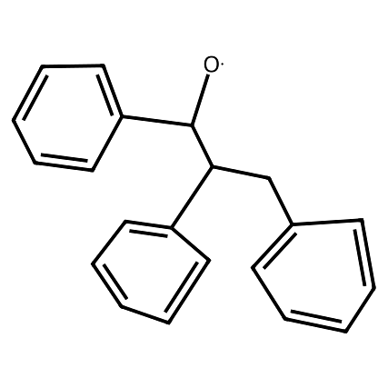 [O]C(c1ccccc1)C(Cc1ccccc1)c1ccccc1